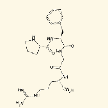 N=C(N)NCCC[C@H](NC(=O)CNC(=O)[C@H](Cc1ccccc1)NC(=O)[C@@H]1CCCN1)C(=O)O